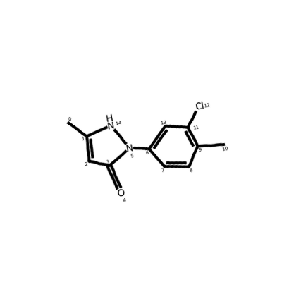 Cc1cc(=O)n(-c2ccc(C)c(Cl)c2)[nH]1